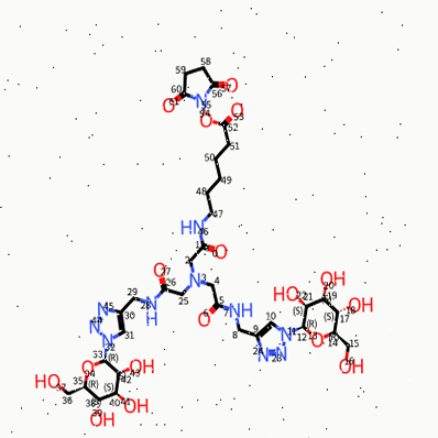 O=C(CN(CC(=O)NCc1cn([C@@H]2O[C@H](CO)[C@@H](O)[C@H](O)[C@@H]2O)nn1)CC(=O)NCc1cn([C@@H]2O[C@H](CO)[C@@H](O)[C@H](O)[C@@H]2O)nn1)NCCCCCC(=O)ON1C(=O)CCC1=O